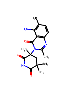 Bc1ccc2nc(C)n(C3(B)CC(B)(B)C(=O)NC3=O)c(=O)c2c1N